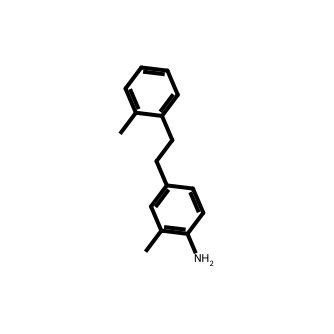 Cc1cc(CCc2ccccc2C)ccc1N